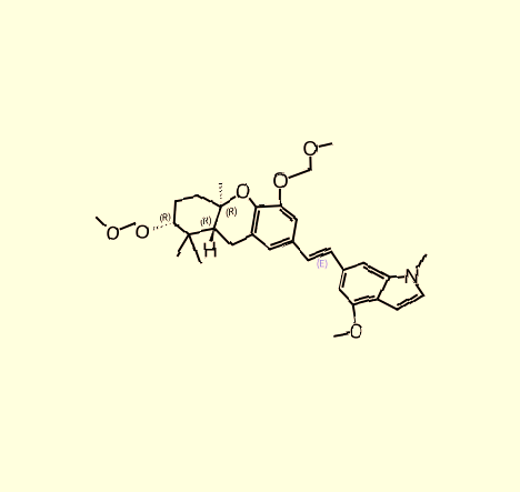 COCOc1cc(/C=C/c2cc(OC)c3ccn(C)c3c2)cc2c1O[C@]1(C)CC[C@@H](OCOC)C(C)(C)[C@H]1C2